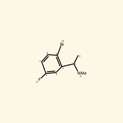 CNC(C)c1cc(F)ccc1Br